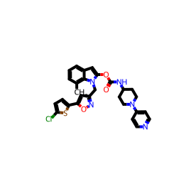 Cc1cccc2cc(OC(=O)NC3CCN(c4ccncc4)CC3)n(Cc3cc(-c4ccc(Cl)s4)on3)c12